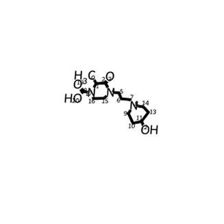 CC1C(=O)N(CCCN2CCC(O)CC2)CCN1C(=O)O